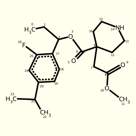 CCC(OC(=O)C1(CC(=O)OC)CCNCC1)c1ccc(C(C)C)cc1F